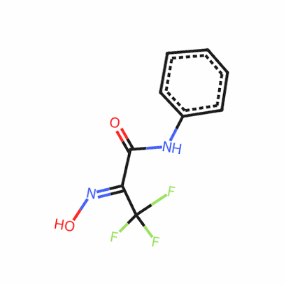 O=C(Nc1ccccc1)/C(=N/O)C(F)(F)F